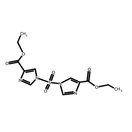 CCOC(=O)c1cn(S(=O)(=O)n2cnc(C(=O)OCC)c2)cn1